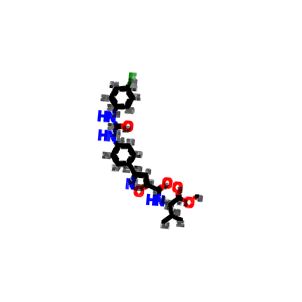 COC(=O)[C@@H](NC(=O)c1cc(-c2ccc(NC(=O)Nc3ccc(F)cc3)cc2)no1)C(C)C